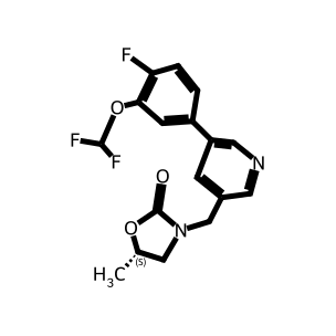 C[C@H]1CN(Cc2cncc(-c3ccc(F)c(OC(F)F)c3)c2)C(=O)O1